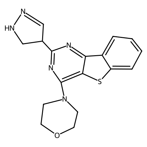 C1=NNCC1c1nc(N2CCOCC2)c2sc3ccccc3c2n1